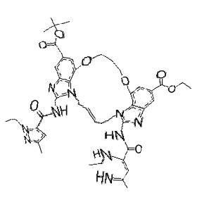 CCN/C(=C\C(C)=N)C(=O)Nc1nc2cc(C(=O)OCC)cc3c2n1C/C=C/Cn1c(NC(=O)c2cc(C)nn2CC)nc2cc(C(=O)OC(C)(C)C)cc(c21)OCCCO3